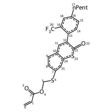 C=CC(=O)OCSc1ccc2cc(-c3ccc(CCCCC)cc3C(F)(F)F)c(=O)sc2c1